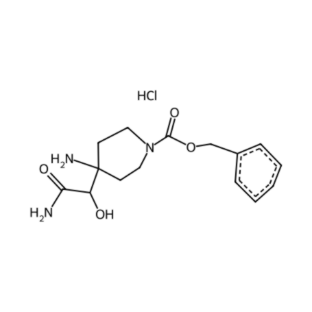 Cl.NC(=O)C(O)C1(N)CCN(C(=O)OCc2ccccc2)CC1